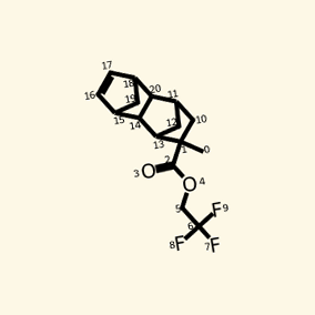 CC1(C(=O)OCC(F)(F)F)CC2CC1C1C3C=CC(C3)C21